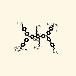 CCCCCCc1cc(-c2ccc(N(c3ccc(-c4ccc(CCC)cc4)cc3)c3ccc(-c4ccc(C(C)(C)C)cc4)cc3)cc2C)c(CCCCCC)cc1-c1ccc(N(c2ccc(-c3ccc(CCC)cc3)cc2)c2ccc(-c3ccc(C(C)(C)C)cc3)cc2)cc1C